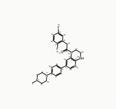 CN1CCN(c2ccc(-c3cnc4c(c3)N(C(=O)Cc3cc(F)ccc3F)CCN4)cn2)CC1